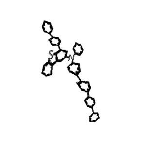 c1ccc(-c2ccc(-c3ccc(-c4ccc(N(c5ccccc5)c5cc(-c6ccc(-c7ccccc7)cc6)c6sc7ccccc7c6c5)cc4)cc3)cc2)cc1